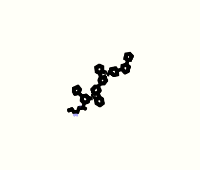 C=C/C=C\C=C(/C)c1cc(-c2ccccc2)cc(-n2c3ccccc3c3cc(-c4ccc5c(c4)c4ccccc4n5-c4ccc(-c5cccc(-c6ccccc6)c5)cc4)ccc32)c1